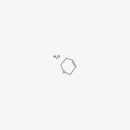 C1=CCOCC1.O